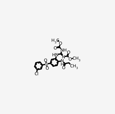 CCC(=O)Nc1ccc(S(=O)(=O)c2cccc(Cl)c2)cc1NC(=NC(=O)OC)NC(=O)OC